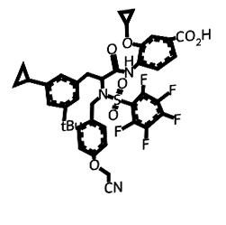 CC(C)(C)c1cc(CC(C(=O)Nc2ccc(C(=O)O)cc2OC2CC2)N(Cc2ccc(OCC#N)cc2)S(=O)(=O)c2c(F)c(F)c(F)c(F)c2F)cc(C2CC2)c1